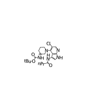 CCCC(=O)Nc1c[nH]c2ncc(Cl)c(N3CCC[C@@H](NC(=O)OC(C)(C)C)C3)c12